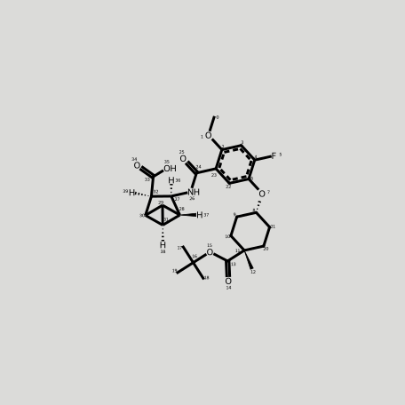 COc1cc(F)c(O[C@H]2CC[C@@](C)(C(=O)OC(C)(C)C)CC2)cc1C(=O)N[C@H]1[C@H]2C3C([C@@H]32)[C@H]1C(=O)O